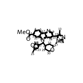 COC(=O)c1ccc2c3ncc(-c4c(C)nnn4C)cc3n(C(c3cc(C)on3)C3CCOCC3)c2c1